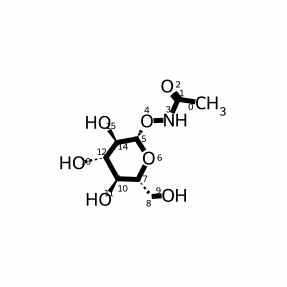 CC(=O)NO[C@@H]1O[C@H](CO)[C@@H](O)[C@H](O)[C@H]1O